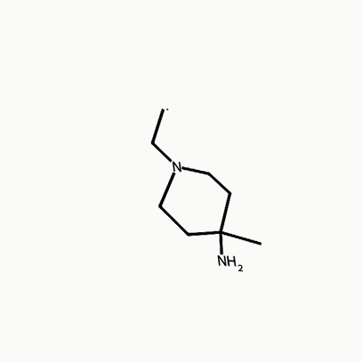 [CH2]CN1CCC(C)(N)CC1